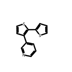 c1cncc(-c2ccsc2-c2cccs2)c1